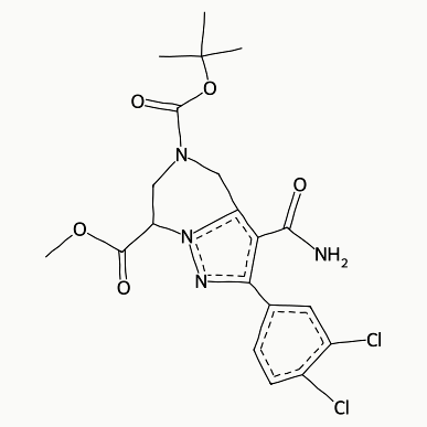 COC(=O)C1CN(C(=O)OC(C)(C)C)Cc2c(C(N)=O)c(-c3ccc(Cl)c(Cl)c3)nn21